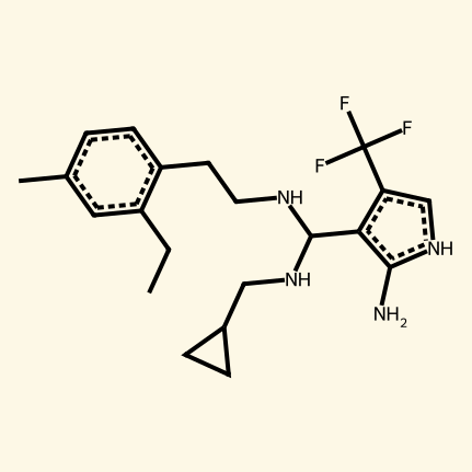 CCc1cc(C)ccc1CCNC(NCC1CC1)c1c(C(F)(F)F)c[nH]c1N